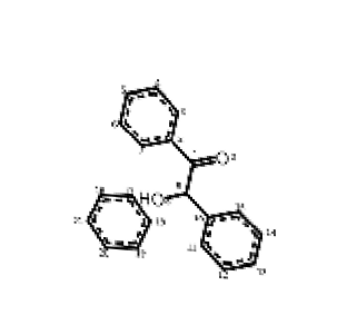 O=C(c1ccccc1)C(O)c1ccccc1.c1ccccc1